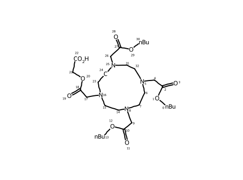 CCCCOC(=O)CN1CCN(CC(=O)OCCCC)CCN(CC(=O)OCC(=O)O)CCN(CC(=O)OCCCC)CC1